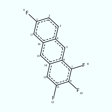 Fc1[c]cc2cc3c(F)c(F)c(F)[c]c3cc2c1